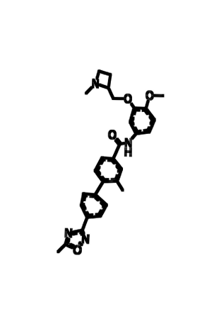 COc1ccc(NC(=O)c2ccc(-c3ccc(-c4noc(C)n4)cc3)c(C)c2)cc1OCC1CCN1C